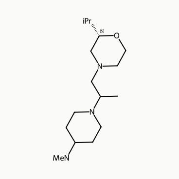 CNC1CCN(C(C)CN2CCO[C@@H](C(C)C)C2)CC1